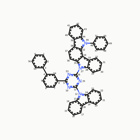 c1ccc(-c2cccc(-c3nc(-n4c5ccccc5c5ccccc54)nc(-n4c5ccccc5c5c4ccc4c6ccccc6n(-c6ccccc6)c45)n3)c2)cc1